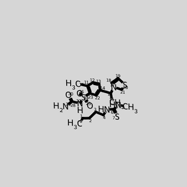 CCCCCNC(=S)NC.Cc1ccc(C(C)N2C=CSC2)cc1S(=O)(=O)NC(N)=O